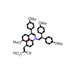 COc1ccc(C(=CN(C=C(c2ccc(OC)cc2)c2ccc(OC)cc2)c2ccc(/C=C(\C#N)C(=O)O)cc2)c2ccc(OC)cc2)cc1